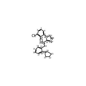 Clc1cccc(-n2nnnc2NCc2ccccc2N2CCCC2)c1Cl